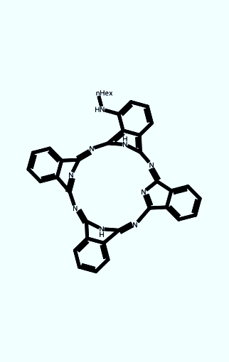 CCCCCCNc1cccc2c3nc4nc(nc5[nH]c(nc6nc(nc([nH]3)c12)-c1ccccc1-6)c1ccccc51)-c1ccccc1-4